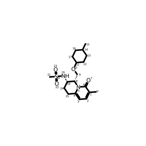 Cc1ccc2n(c1=O)[C@@H](COC1CCC(C)CC1)[C@@H](NS(C)(=O)=O)CC2